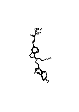 O=C(C=Cc1ccc2c(c1)CCC2N(CCO)CCc1c[nH]c2cc(Cl)ccc12)NO